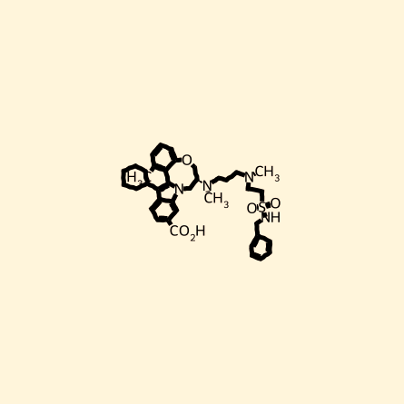 Cc1cccc2c1-c1c(C3CCCCC3)c3ccc(C(=O)O)cc3n1C[C@@H](N(C)CCCN(C)CCS(=O)(=O)NCc1ccccc1)CO2